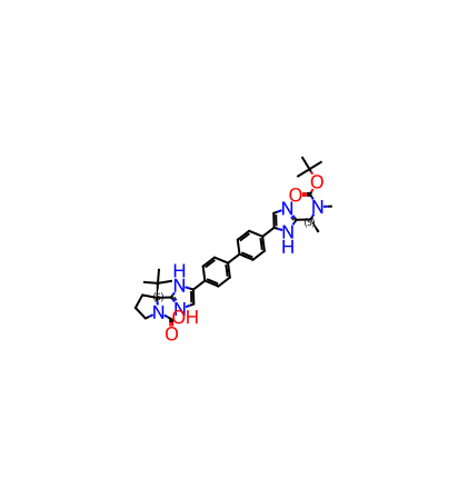 C[C@@H](c1ncc(-c2ccc(-c3ccc(-c4cnc([C@@]5(C(C)(C)C)CCCN5C(=O)O)[nH]4)cc3)cc2)[nH]1)N(C)C(=O)OC(C)(C)C